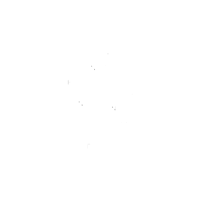 CC(C(=O)O)N(C(=O)c1cc(C(F)(F)F)nc(C(F)(F)F)c1)c1cnccc1-c1ccccc1F